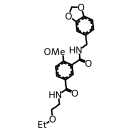 CCOCCNC(=O)c1ccc(OC)c(C(=O)NCc2ccc3c(c2)OCO3)c1